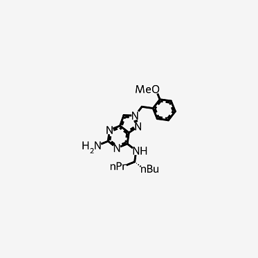 CCCC[C@H](CCC)Nc1nc(N)nc2cn(Cc3ccccc3OC)nc12